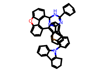 C1=Cc2c(n(-c3cccc4c3sc3c(-c5cccc6oc7cccc(C8N=C(c9ccccc9)N=C(c9ccccc9)N8)c7c56)cccc34)c3ccccc23)CC1